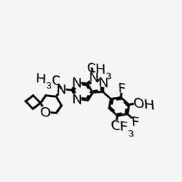 CN(c1ncc2c(-c3cc(C(F)(F)F)c(F)c(O)c3F)nn(C)c2n1)C1CCOC2(CCC2)C1